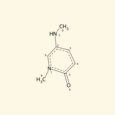 CNc1ccc(=O)n(C)c1